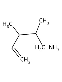 C=CC(C)C(C)C.N